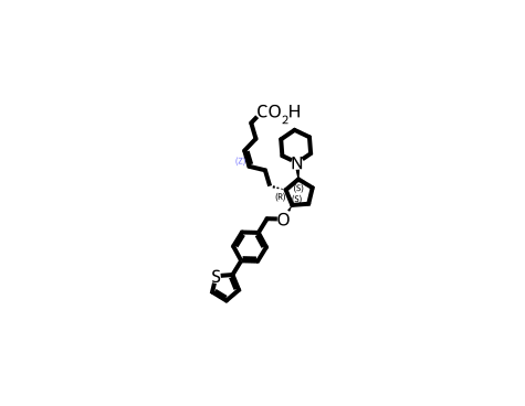 O=C(O)CC/C=C\CC[C@H]1[C@@H](OCc2ccc(-c3cccs3)cc2)CC[C@@H]1N1CCCCC1